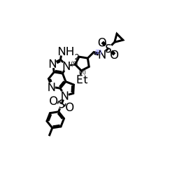 CC[C@@H]1CC(/C=N/S(=O)(=O)C2CC2)C[C@@H]1n1c(N)nc2cnc3c(ccn3S(=O)(=O)c3ccc(C)cc3)c21